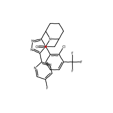 O=C(c1cccc(C(F)(F)F)c1Cl)N1C2CCCC1c1nnc(-c3ncc(F)cn3)n1C2